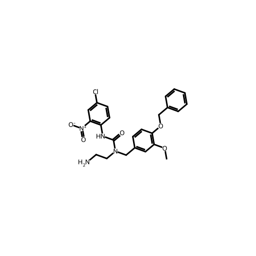 COc1cc(CN(CCN)C(=O)Nc2ccc(Cl)cc2[N+](=O)[O-])ccc1OCc1ccccc1